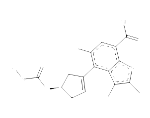 Cc1[nH]c2c(C(N)=O)cc(F)c(C3=CC[C@@H](OC(=O)NC(C)(C)C)C3)c2c1C